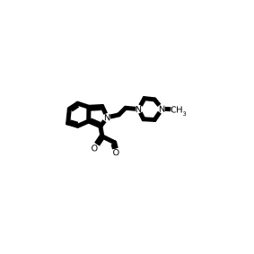 CN1CCN(CCn2cc3ccccc3c2C(=O)C=O)CC1